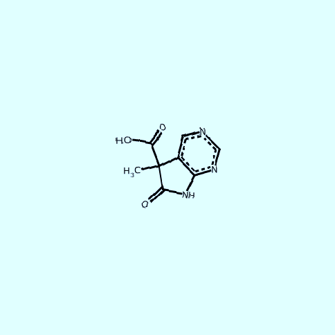 CC1(C(=O)O)C(=O)Nc2ncncc21